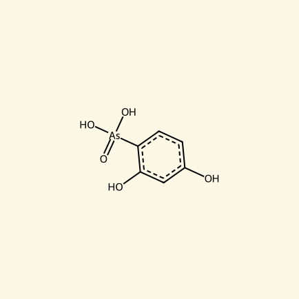 O=[As](O)(O)c1ccc(O)cc1O